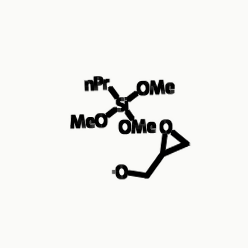 CCC[Si](OC)(OC)OC.[O]CC1CO1